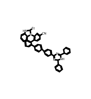 CCC1Nc2ccccc2N1c1cc(C#N)ccc1-c1ccccc1-c1ccc(-c2ccc(C3=NC(c4ccccc4)NC(C4C=CC=CC4)=N3)cc2)cc1